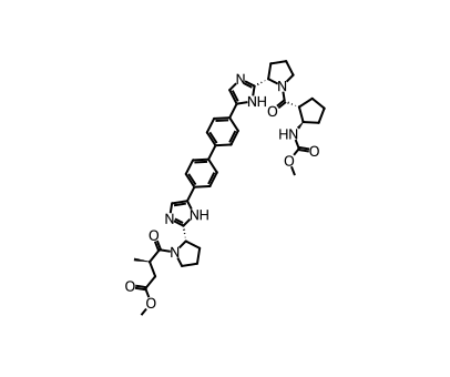 COC(=O)C[C@@H](C)C(=O)N1CCC[C@H]1c1ncc(-c2ccc(-c3ccc(-c4cnc([C@@H]5CCCN5C(=O)[C@@H]5CCC[C@H]5NC(=O)OC)[nH]4)cc3)cc2)[nH]1